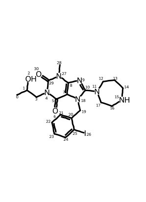 CC(O)Cn1c(=O)c2c(nc(N3CCCNCC3)n2Cc2ccccc2I)n(C)c1=O